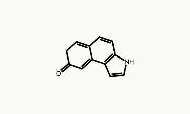 O=C1C=c2c(ccc3[nH]ccc23)=CC1